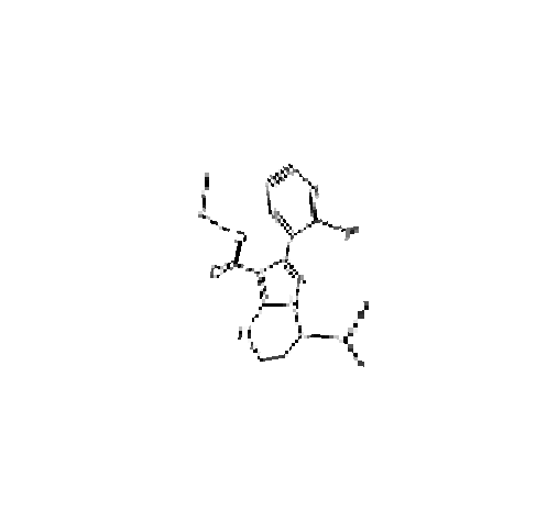 CCOC(=O)c1c(-c2ccccc2F)nn2c1OCCC2C(C)C